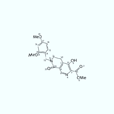 COC(=O)c1ncc2c(c1O)CCN(Cc1ccc(OC)cc1OC)C2=O